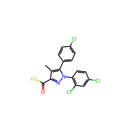 Cc1c(C(=O)S)nn(-c2ccc(Cl)cc2Cl)c1-c1ccc(Cl)cc1